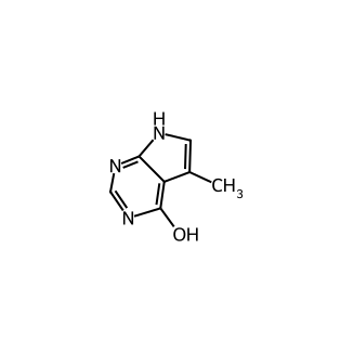 Cc1c[nH]c2ncnc(O)c12